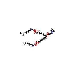 CCCCCC/C=C\COC(=O)OCCCCCCCCC(CCCCCCCCOC(=O)OC/C=C\CCCCCC)OC(=O)CCCN1CCCC1